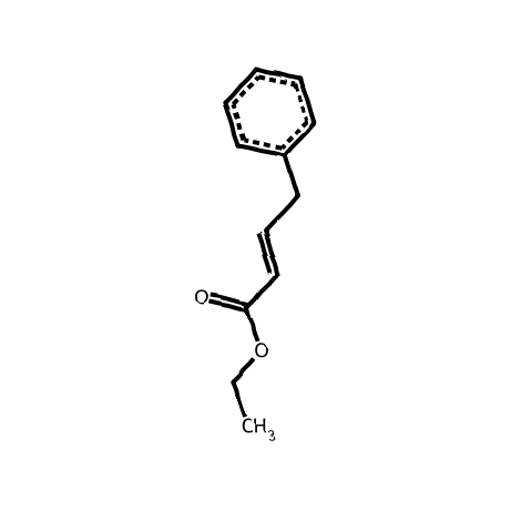 CCOC(=O)C=CCc1ccccc1